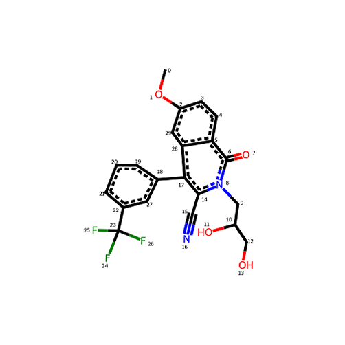 COc1ccc2c(=O)n(CC(O)CO)c(C#N)c(-c3cccc(C(F)(F)F)c3)c2c1